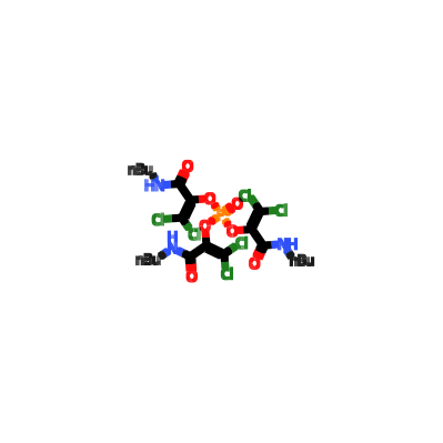 CCCCNC(=O)C(OP(=O)(OC(C(=O)NCCCC)=C(Cl)Cl)OC(C(=O)NCCCC)=C(Cl)Cl)=C(Cl)Cl